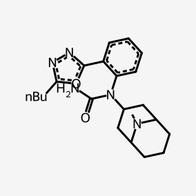 CCCCc1nnc(-c2ccccc2N(C(N)=O)C2CC3CCCC(C2)N3C)o1